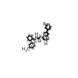 CN1CCN(C[C@@H](NC(=O)C[C@H]2CNOC3C=C(c4ccnc(F)c4)CN32)C2CCCCC2)CC1